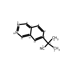 CC(C)(C#N)c1ccc2cnncc2c1